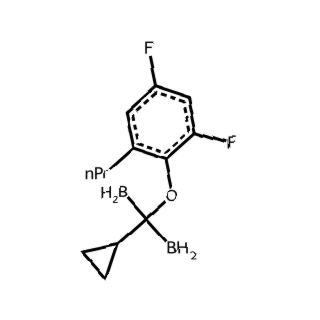 BC(B)(Oc1c(F)cc(F)cc1CCC)C1CC1